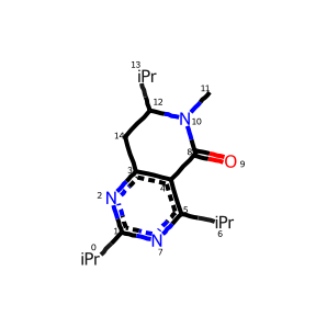 CC(C)c1nc2c(c(C(C)C)n1)C(=O)N(C)C(C(C)C)C2